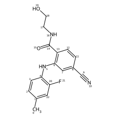 Cc1ccc(Nc2cc(C#N)ccc2C(=O)NCCO)c(F)c1